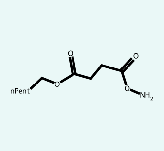 CCCCCCOC(=O)CCC(=O)ON